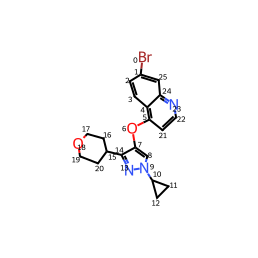 Brc1ccc2c(Oc3cn(C4CC4)nc3C3CCOCC3)ccnc2c1